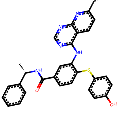 CC(C)c1ccc2c(Nc3cc(C(=O)N[C@@H](C)c4ccccc4)ccc3Sc3ccc(O)cc3)ncnc2n1